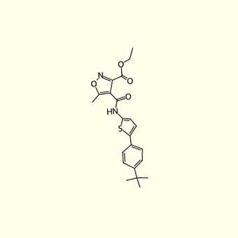 CCOC(=O)c1noc(C)c1C(=O)Nc1ccc(-c2ccc(C(C)(C)C)cc2)s1